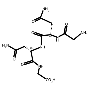 NCC(=O)N[C@@H](CC(N)=O)C(=O)N[C@@H](CC(N)=O)C(=O)NCC(=O)O